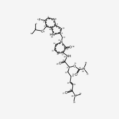 CC(C)Oc1c(F)cnc2cc(Cn3cccc(NC(=O)[C@H](CC/C=C/C(=O)N(C)C)OC(=O)N(C)C)c3=O)[nH]c12